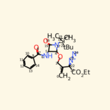 C=C(COC1C(NC(=O)c2ccccc2)C(=O)N1[Si](C)(C)C(C)(C)C)C(=[N+]=[N-])C(=O)OCC